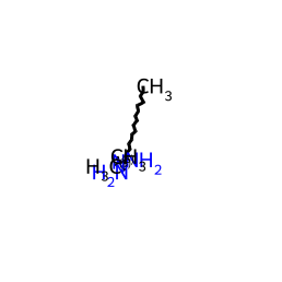 CCCCCCCCCCCCCCC[C@H](N)[C@H](CN)N(C)C